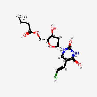 O=C(O)CCC(=O)OC[C@H]1O[C@@H](n2cc(C=CBr)c(=O)[nH]c2=O)C[C@@H]1O